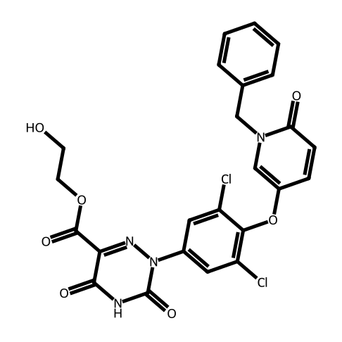 O=C(OCCO)c1nn(-c2cc(Cl)c(Oc3ccc(=O)n(Cc4ccccc4)c3)c(Cl)c2)c(=O)[nH]c1=O